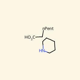 C1CCNCC1.CCCCCCC(=O)O